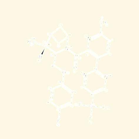 Cc1ccc(-c2ncc(C(F)(F)F)cn2)c(C(=O)N2C3CC(C3)[C@@H](C)C2COc2ccc(F)cc2)n1